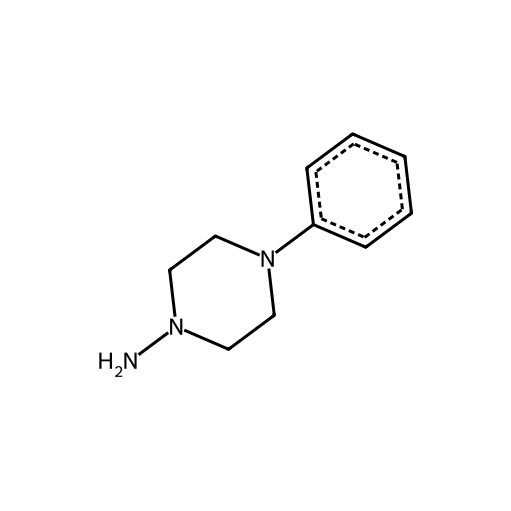 NN1CCN(c2ccccc2)CC1